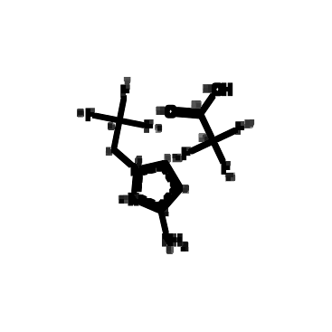 Nc1ccn(CC(F)(F)F)n1.O=C(O)C(F)(F)F